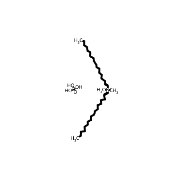 CCCCCCCCCCCCCCCCC=C[N+](C)(C)C=CCCCCCCCCCCCCCCCC.O=P(O)(O)O